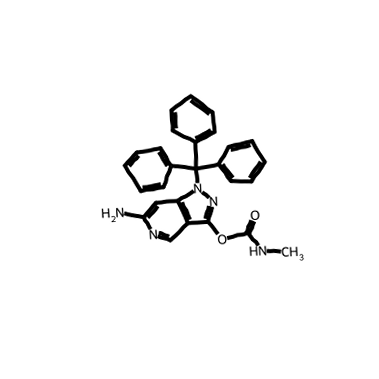 CNC(=O)Oc1nn(C(c2ccccc2)(c2ccccc2)c2ccccc2)c2cc(N)ncc12